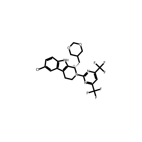 FC(F)(F)c1cc(C(F)(F)F)nc(N2CCc3c([nH]c4ccc(Cl)cc34)[C@@H]2CC2COCOC2)n1